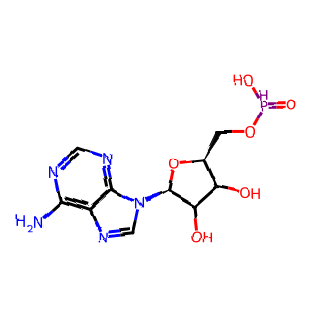 Nc1ncnc2c1ncn2[C@H]1O[C@@H](CO[PH](=O)O)C(O)C1O